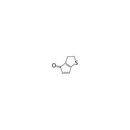 O=C1C=CC2=C1CCS2